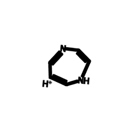 C1=CNC=CN=C1.[H+]